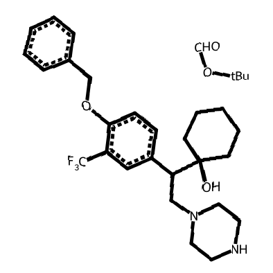 CC(C)(C)OC=O.OC1(C(CN2CCNCC2)c2ccc(OCc3ccccc3)c(C(F)(F)F)c2)CCCCC1